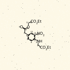 CCOC(=O)CNc1ccc(CC(=O)OCC(=O)OCC)cc1[N+](=O)[O-]